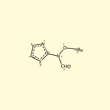 CCCCON(C=O)c1n[c]cs1